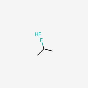 CC(C)F.F